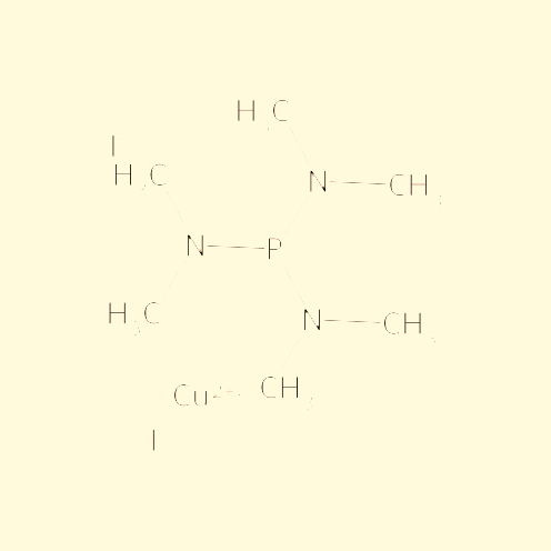 CN(C)P(N(C)C)N(C)C.[Cu+2].[I-].[I-]